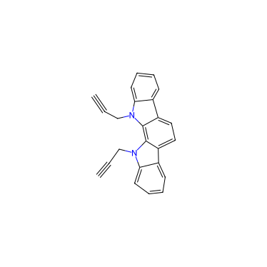 C#CCn1c2ccccc2c2ccc3c4ccccc4n(CC#C)c3c21